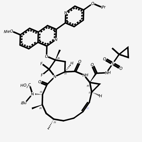 CCC(C)N(C(=O)O)[C@@H]1C(=O)N2[C@@H](C[C@@](C)(Oc3nc(-c4ccc(OC(C)C)cn4)cc4cc(OC)ccc34)C2(F)F)C(=O)N[C@]2(C(=O)NS(=O)(=O)C3(C)CC3)C[C@H]2/C=C\CC[C@H](C)C[C@H]1C